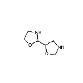 C1COC([C]2CNCO2)N1